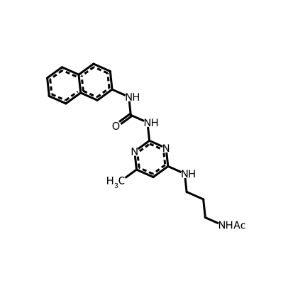 CC(=O)NCCCNc1cc(C)nc(NC(=O)Nc2ccc3ccccc3c2)n1